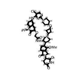 CNC(=O)COc1cc2cc(Nc3nc(N4CCC(OC5CC(N6CCC(c7ccc8c(c7OC)CN(C7CCC(=O)NC7=O)C8=O)CC6)C5)CC4)ncc3Cl)ccc2n(C(C)C)c1=O